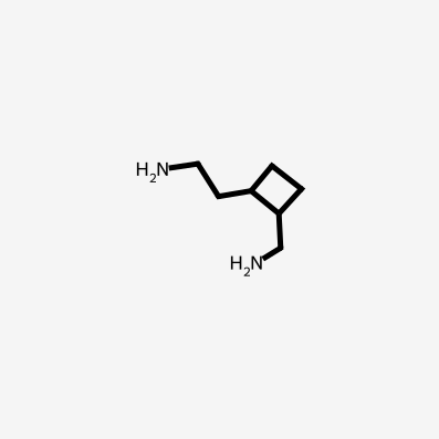 NCCC1CCC1CN